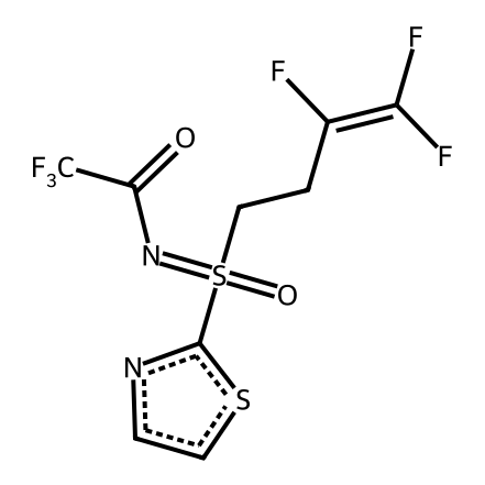 O=C(N=S(=O)(CCC(F)=C(F)F)c1nccs1)C(F)(F)F